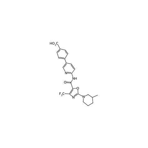 CC1CCCN(c2nc(C(F)(F)F)c(C(=O)Nc3ccc(-c4ccc(C(=O)O)cc4)cn3)o2)C1